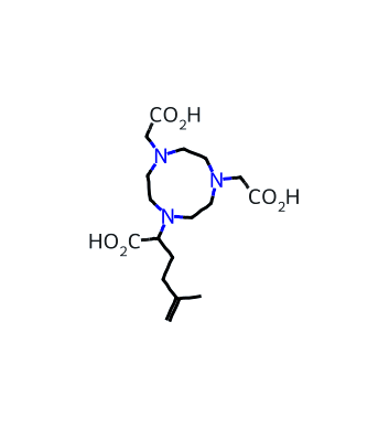 C=C(C)CCC(C(=O)O)N1CCN(CC(=O)O)CCN(CC(=O)O)CC1